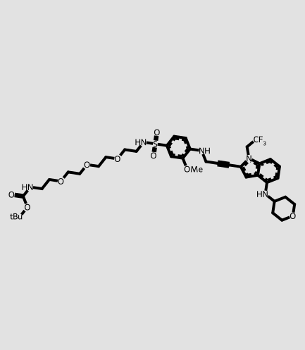 COc1cc(S(=O)(=O)NCCOCCOCCOCCNC(=O)OC(C)(C)C)ccc1NCC#Cc1cc2c(NC3CCOCC3)cccc2n1CC(F)(F)F